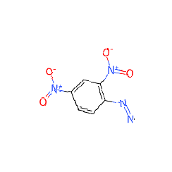 [N]=Nc1ccc([N+](=O)[O-])cc1[N+](=O)[O-]